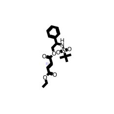 CCOC(=O)/C=C/C(=O)OCC(NS(=O)(=O)C(C)(C)C)c1ccccc1